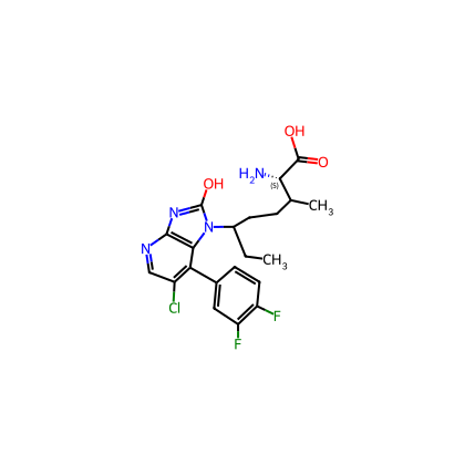 CCC(CCC(C)[C@H](N)C(=O)O)n1c(O)nc2ncc(Cl)c(-c3ccc(F)c(F)c3)c21